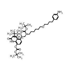 CC(C)(C)OC(=O)Oc1ccc([C@H](CN(CCCCCCOCCCCc2ccc(N)cc2)C(=O)OC(C)(C)C)O[Si](C)(C)C(C)(C)C)c2ccc(=O)[nH]c12